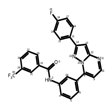 O=C(Nc1cccc(-c2ccnc3cc(-c4ccc(F)cc4)nn23)c1)c1cccc(C(F)(F)F)c1